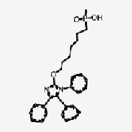 CP(=O)(O)CCCCCCCOc1nc(-c2ccccc2)c(-c2ccccc2)n1-c1ccccc1